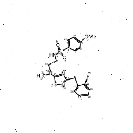 COc1ccc(S(=O)(=O)NCCN(C)c2nc(Cc3ccccc3F)ns2)cc1